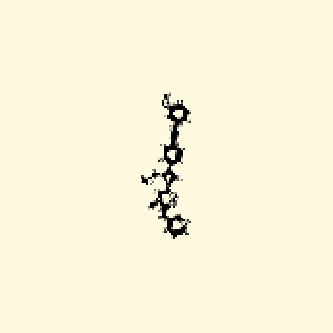 COC[C@H]1[C@@H](c2ccc(C#Cc3cccc(OC)c3)cc2)CN1C(=O)CN(C)C(=O)Cc1cccnc1